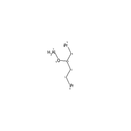 CC(C)CCC(CC(C)C)[O][AlH2]